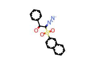 [N-]=[N+]=C(C(=O)c1ccccc1)S(=O)(=O)c1ccc2ccccc2c1